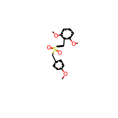 COc1ccc(CS(=O)(=O)C=Cc2c(OC)cccc2OC)cc1